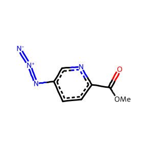 COC(=O)c1ccc(N=[N+]=[N-])cn1